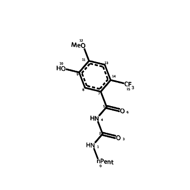 CCCCCNC(=O)NC(=O)c1cc(O)c(OC)cc1C(F)(F)F